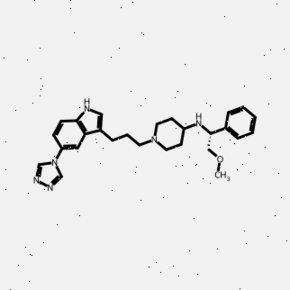 COC[C@H](NC1CCN(CCCc2c[nH]c3ccc(-n4cnnc4)cc23)CC1)c1ccccc1